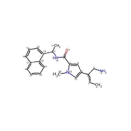 C/C=C(\CN)c1cc(C(=O)NC(C)c2cccc3ccccc23)n(C)c1